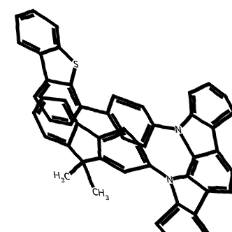 CC1(C)c2ccccc2-c2ccc(-n3c4ccccc4c4ccc5c6ccccc6n(-c6ccc(-c7cccc8c7sc7ccccc78)cc6)c5c43)cc21